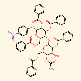 CC(=O)O[C@@H]1[C@H](O)[C@@H](OC(=O)c2ccccc2)[C@H](O[C@H]2[C@H](OC(=O)c3ccccc3)[C@@H](OC(=O)c3ccccc3)[C@H](Oc3ccc([N+](=O)[O-])cc3)O[C@@H]2COC(=O)c2ccccc2)O[C@@H]1COC(=O)c1ccccc1